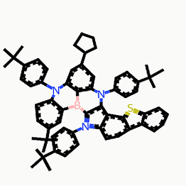 CC(C)(C)c1ccc(N2c3ccc(C(C)(C)C)cc3B3c4c2cc(C2CCCC2)cc4N(c2ccc(C(C)(C)C)cc2)c2c3n(-c3ccc(C(C)(C)C)cc3)c3ccc4c5ccccc5sc4c23)cc1